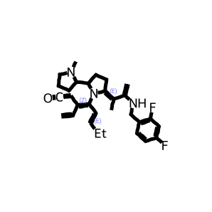 C=C/C(C=C=O)=C(\C=C\CC)N1/C(=C(\C)C(=C)NCc2ccc(F)cc2F)CCC1C1CCCN1C